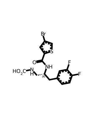 O=C(O)NC[C@@H](Cc1ccc(F)c(F)c1)NC(=O)c1cc(Br)cs1